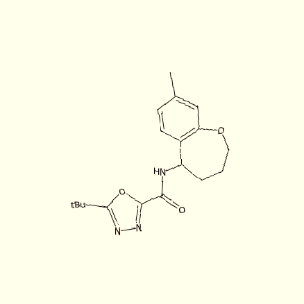 Cc1ccc2c(c1)OCCCC2NC(=O)c1nnc(C(C)(C)C)o1